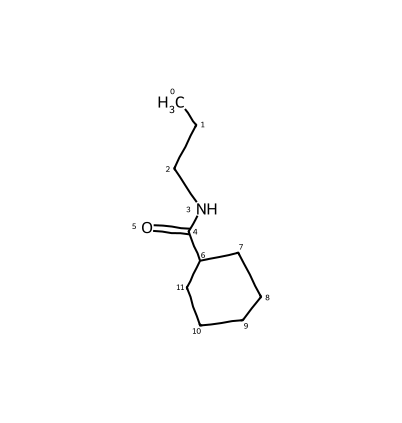 CCCNC(=O)C1CCCCC1